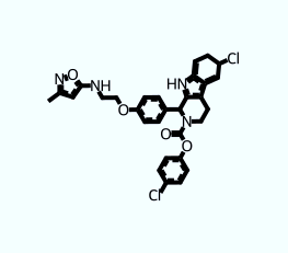 Cc1cc(NCCOc2ccc(C3c4[nH]c5c(c4CCN3C(=O)Oc3ccc(Cl)cc3)=CC(Cl)CC=5)cc2)on1